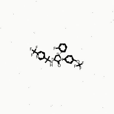 CC(C)(N[C@@H]1C[C@H](c2ccccc2F)N(c2ccc(OC(F)(F)F)cc2)C1=O)c1ccc(C(F)(F)F)nc1